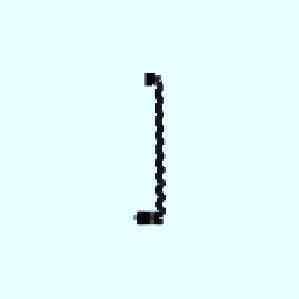 CC(C)CCCCCCCCCCCCCCCCCCC[C]=O